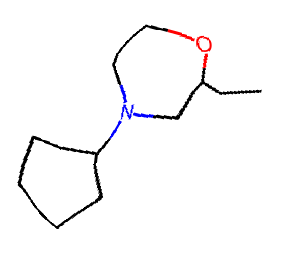 CC1CN(C2CCCC2)CCO1